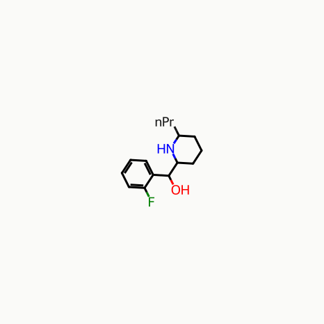 CCCC1CCCC(C(O)c2ccccc2F)N1